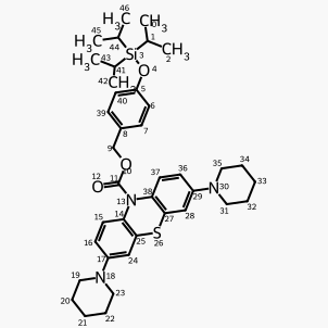 CC(C)[Si](Oc1ccc(COC(=O)N2c3ccc(N4CCCCC4)cc3Sc3cc(N4CCCCC4)ccc32)cc1)(C(C)C)C(C)C